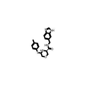 Cc1ccc(SC2CO[CH][C@H](C(=O)NCc3ccc4nc[nH]c4c3)N2)cc1